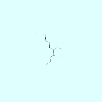 CCCCCCCCCCCCCCC(C(C)CCCCCCCCCCCCC)N(C)C.Cl